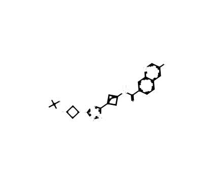 O=C(NC12CC(c3nnc([C@H]4C[C@@H](OC(F)(F)F)C4)o3)(C1)C2)c1ccc2cc(Cl)cnc2c1